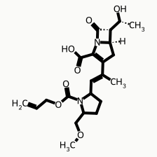 C=CCOC(=O)N1C(/C=C(\C)C2=C(C(=O)O)N3C(=O)[C@H]([C@@H](C)O)[C@H]3C2)CCC1COC